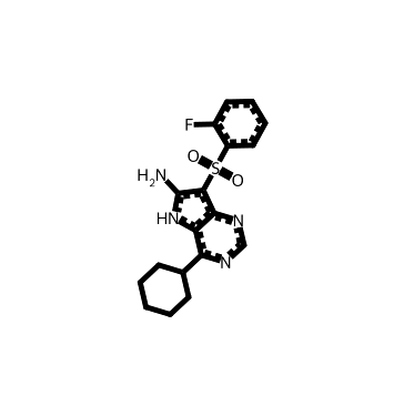 Nc1[nH]c2c(C3CCCCC3)ncnc2c1S(=O)(=O)c1ccccc1F